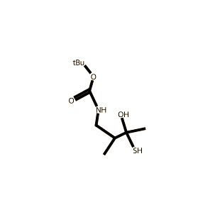 CC(CNC(=O)OC(C)(C)C)C(C)(O)S